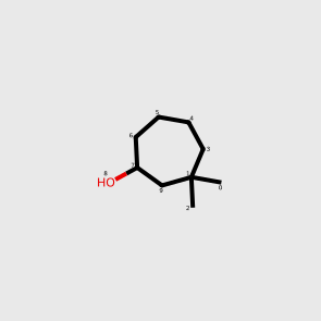 CC1(C)CCCCC(O)C1